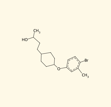 Cc1cc(OC2CCC(CCC(C)O)CC2)ccc1Br